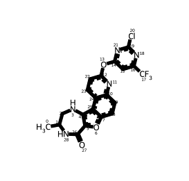 CC1CNc2c(oc3ccc4nc(Oc5cc(C(F)(F)F)nc(Cl)n5)ccc4c23)C(=O)N1